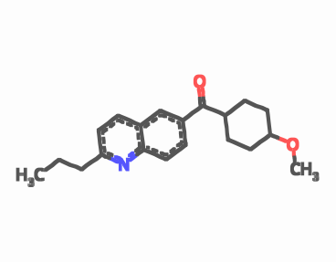 CCCc1ccc2cc(C(=O)C3CCC(OC)CC3)ccc2n1